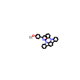 CCOc1ccc(-c2cccc(-n3c4ccccc4c4ccc5c6ccccc6n(-c6ccccc6)c5c43)n2)cc1